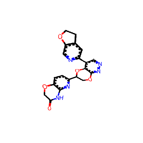 O=C1COc2ccc(C3COc4nn[c]c(-c5cc6c(cn5)OCC6)c4O3)nc2N1